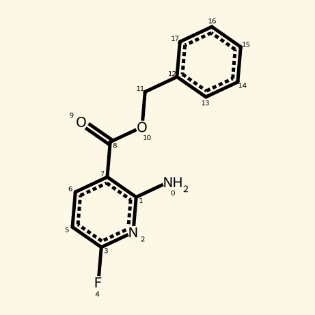 Nc1nc(F)ccc1C(=O)OCc1ccccc1